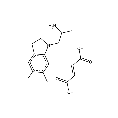 Cc1cc2c(cc1F)CCN2CC(C)N.O=C(O)C=CC(=O)O